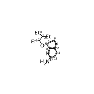 CCC(CC)C(CC)Oc1cccc2ccc(N)nc12